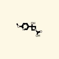 COc1ccc(C2(O)CN(C(=O)O)C2)cn1